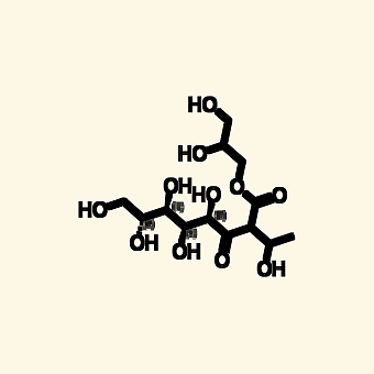 CC(O)C(C(=O)OCC(O)CO)C(=O)[C@H](O)[C@@H](O)[C@H](O)[C@H](O)CO